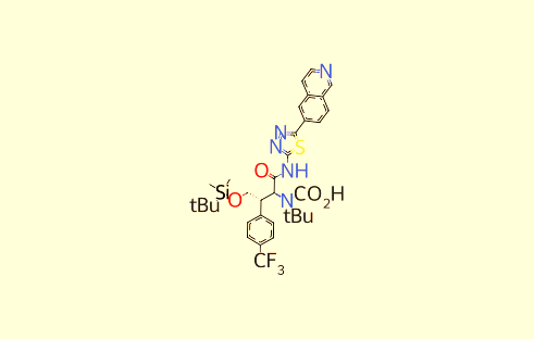 CC(C)(C)N(C(=O)O)[C@H](C(=O)Nc1nnc(-c2ccc3cnccc3c2)s1)[C@@H](CO[Si](C)(C)C(C)(C)C)c1ccc(C(F)(F)F)cc1